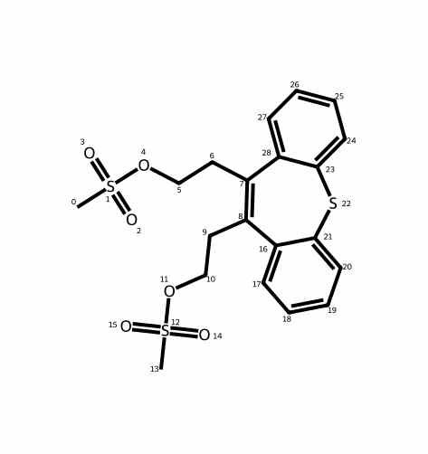 CS(=O)(=O)OCCC1=C(CCOS(C)(=O)=O)c2ccccc2Sc2ccccc21